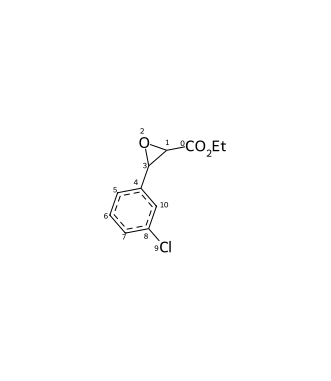 CCOC(=O)C1OC1c1cccc(Cl)c1